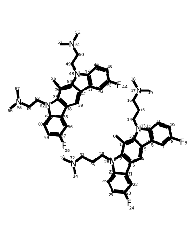 Cc1c2c(cc3c4cc(F)ccc4n(CCCN(C)C)c13)c1cc(F)ccc1n2CCCN(C)C.Cc1c2c(cc3c4cc(F)ccc4n(CCN(C)C)c13)c1cc(F)ccc1n2CCN(C)C